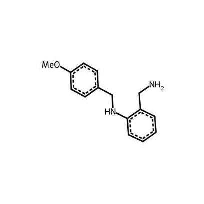 COc1ccc(CNc2ccccc2CN)cc1